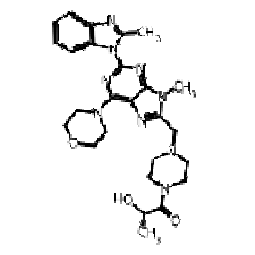 Cc1nc2ccccc2n1-c1nc(N2CCOCC2)c2nc(CN3CCN(C(=O)[C@@H](C)O)CC3)n(C)c2n1